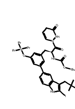 CC(C)[Si](Oc1cc(C[C@H](NC(=O)OC(C)(C)C)C(=O)N2C=CCC(=O)N2)cc(-c2ccc3[nH]c(I)c(CC(C)(C)CO)c3c2)c1)(C(C)C)C(C)C